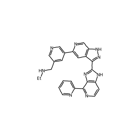 CCNCc1cncc(-c2cc3c(-c4nc5c(-c6ccccn6)nccc5[nH]4)n[nH]c3cn2)c1